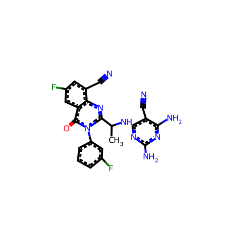 CC(Nc1nc(N)nc(N)c1C#N)c1nc2c(C#N)cc(F)cc2c(=O)n1-c1cccc(F)c1